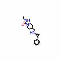 CCNC(=O)N1CCC(CN[C@@H]2C[C@H]2c2ccccc2)CC1